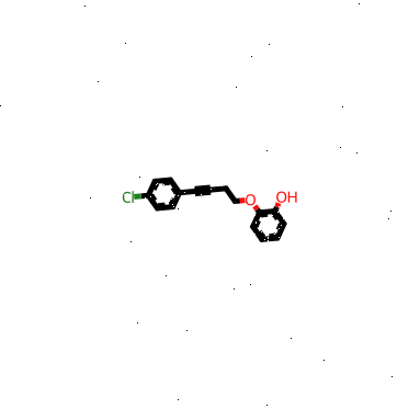 Oc1ccccc1OCCC#Cc1ccc(Cl)cc1